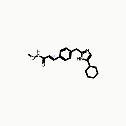 CONC(=O)/C=C/c1ccc(Cc2ncc(C3CCCCC3)[nH]2)cc1